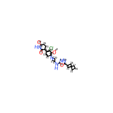 COc1c(N2CC(Nc3nnc(C4CC5(CCC5)C4)o3)C2)ccc(C2CCC(=O)NC2=O)c1Cl